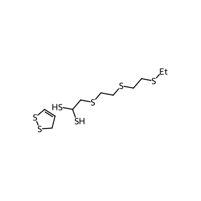 C1=CSSC1.CCSCCSCCSCC(S)S